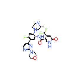 C[C@@H]1CN(c2cc(F)c(-c3ccnc(N4CCOCC4)n3)cc2NC(=O)c2c[nH]c(=O)cc2C(F)F)CCN1C